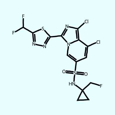 O=S(=O)(NC1(CF)CC1)c1cc(Cl)c2c(Cl)nc(-c3nnc(C(F)F)s3)n2c1